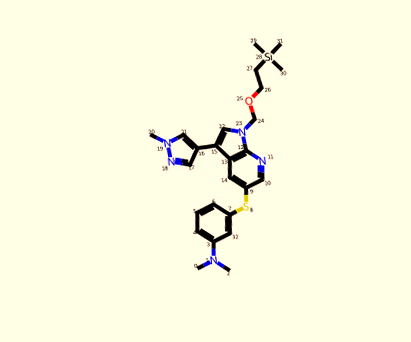 CN(C)c1cccc(Sc2cnc3c(c2)c(-c2cnn(C)c2)cn3COCC[Si](C)(C)C)c1